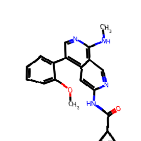 CNc1ncc(-c2ccccc2OC)c2cc(NC(=O)C3CC3)ncc12